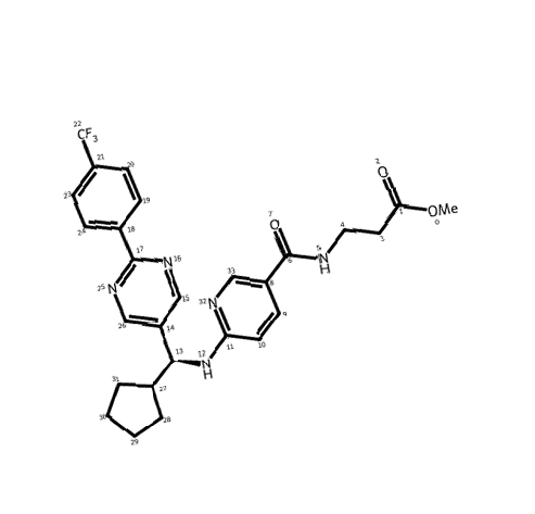 COC(=O)CCNC(=O)c1ccc(N[C@H](c2cnc(-c3ccc(C(F)(F)F)cc3)nc2)C2CCCC2)nc1